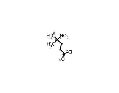 CC(C)(CCC(=O)Cl)[N+](=O)[O-]